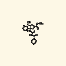 CC(C)(C)OC(=O)N1CC(CO)C(NC(=S)NC(=O)c2ccccc2)(c2cccnc2)C1